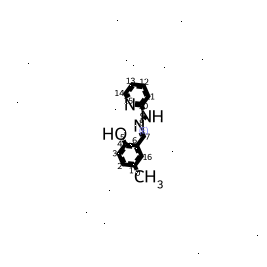 Cc1ccc(O)c(/C=N/Nc2ccccn2)c1